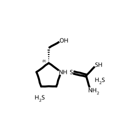 NC(=S)S.OC[C@H]1CCCN1.S.S